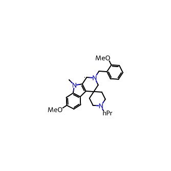 CCCN1CCC2(CC1)CN(Cc1ccccc1OC)[CH]c1c2c2ccc(OC)cc2n1C